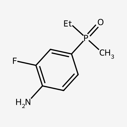 CCP(C)(=O)c1ccc(N)c(F)c1